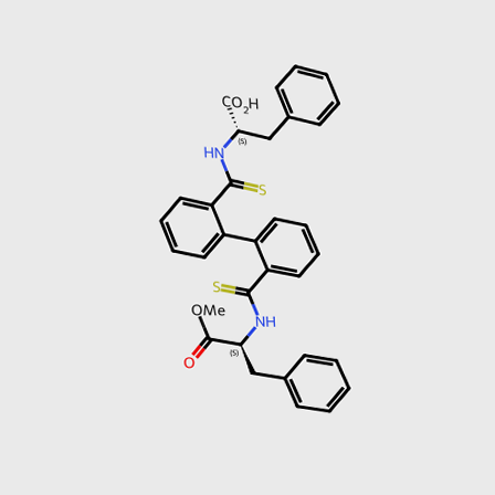 COC(=O)[C@H](Cc1ccccc1)NC(=S)c1ccccc1-c1ccccc1C(=S)N[C@@H](Cc1ccccc1)C(=O)O